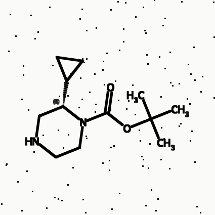 CC(C)(C)OC(=O)N1CCNC[C@@H]1C1CC1